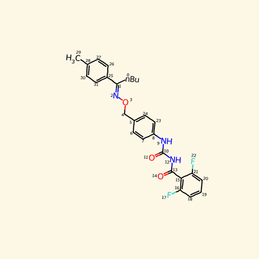 CCCC/C(=N\OCc1ccc(NC(=O)NC(=O)c2c(F)cccc2F)cc1)c1ccc(C)cc1